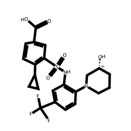 O=C(O)c1ccc(C2CC2)c(S(=O)(=O)Nc2cc(C(F)(F)F)ccc2N2CCC[C@@H](O)C2)c1